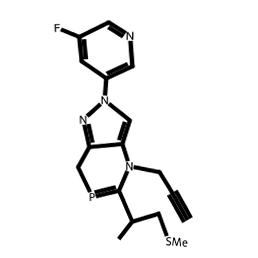 C#CCN1C(C(C)CSC)=PCc2nn(-c3cncc(F)c3)cc21